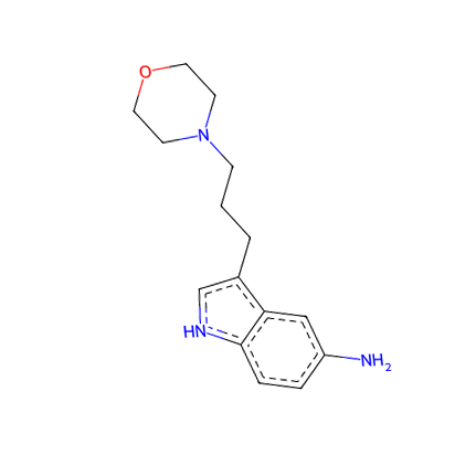 Nc1ccc2[nH]cc(CCCN3CCOCC3)c2c1